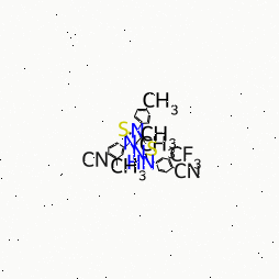 [C-]#[N+]c1ccc(N2C(=S)N(c3ccc(C)cc3)C(C)(C)C2=NC(=S)Nc2ccc(C#N)c(C(F)(F)F)c2)cc1C